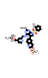 CNc1nc(NCc2cc(CO[Si](C)(C)C(C)(C)C)ccn2)c2c(-c3ccc4ncc(OS(=O)(=O)C(F)(F)F)cc4c3)cn(S(=O)(=O)c3ccccc3C)c2n1